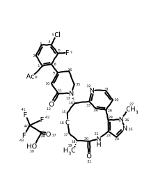 CC(=O)c1ccc(Cl)c(F)c1C1=CC(=O)N([C@H]2CCC[C@@H](C)C(=O)Nc3cnn(C)c3-c3ccnc2c3)CC1.O=C(O)C(F)(F)F